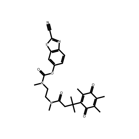 CC1=C(C)C(=O)C(C(C)(C)CC(=O)N(C)CCN(C)C(=O)Oc2ccc3nc(C#N)sc3c2)=C(C)C1=O